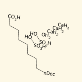 CCCCCCCCCCCCCCCCCC(=O)O.O.O=S(=O)(O)O.O=S(=O)(O)O.[CaH2].[CaH2].[CaH2]